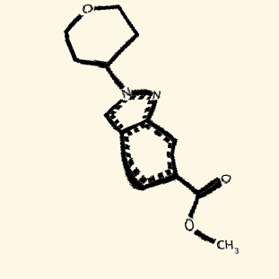 COC(=O)c1ccc2cn(C3CCOCC3)nc2c1